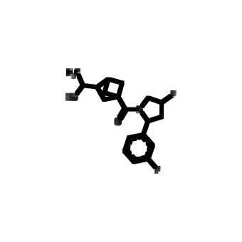 CC(O)C1CC2(C(=O)N3CC(F)CC3c3cccc(F)c3)CC1C2